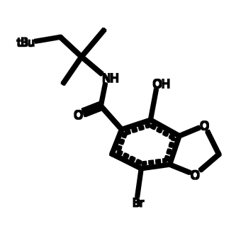 CC(C)(C)CC(C)(C)NC(=O)c1cc(Br)c2c(c1O)OCO2